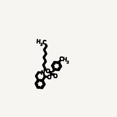 CCCCCCCCN1CCc2ccccc2C1OS(=O)(=O)c1ccc(C)cc1